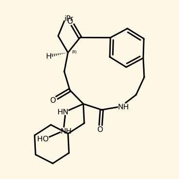 CC(C)C[C@@H]1CC(=O)C(CC2CCCCC2)(NNO)C(=O)NCCc2ccc(cc2)C1=O